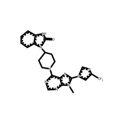 Cn1c(-n2cnc(C(F)(F)F)c2)nc2c(N3CCC(n4c(=O)[nH]c5ccccc54)CC3)ncnc21